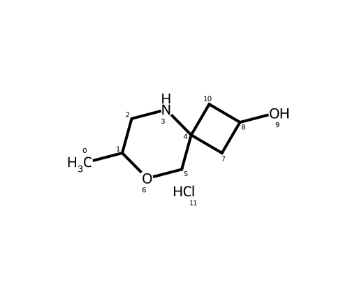 CC1CNC2(CO1)CC(O)C2.Cl